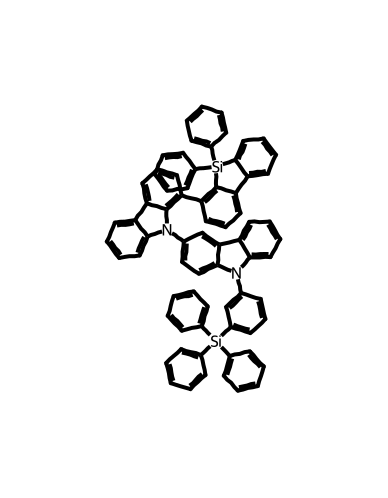 c1ccc([Si](c2ccccc2)(c2ccccc2)c2cccc(-n3c4ccccc4c4cc(-n5c6ccccc6c6cccc(-c7cccc8c7[Si](c7ccccc7)(c7ccccc7)c7ccccc7-8)c65)ccc43)c2)cc1